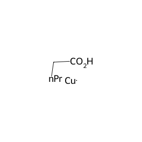 CCCCC(=O)O.[Cu]